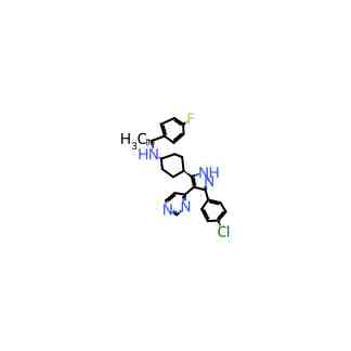 C[C@@H](N[C@H]1CC[C@H](c2[nH]nc(-c3ccc(Cl)cc3)c2-c2ccncn2)CC1)c1ccc(F)cc1